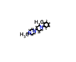 Cc1c[c]ccc1N1CCC(N2CCN(C)CC2)CC1